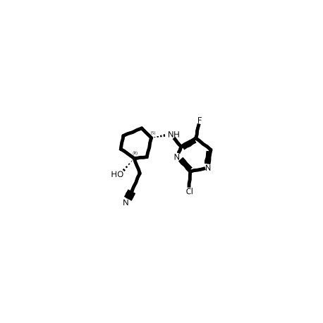 N#CC[C@@]1(O)CCC[C@H](Nc2nc(Cl)ncc2F)C1